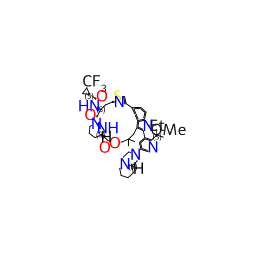 CCn1c(-c2cc(N3CCN4CCCC[C@@H]4C3)cnc2[C@H](C)OC)c2c3cc(ccc31)-c1csc(n1)C[C@H](NC(=O)[C@H]1CC1C(F)(F)F)C(=O)N1CCC[C@H](N1)C(=O)OCC(C)(C)C2